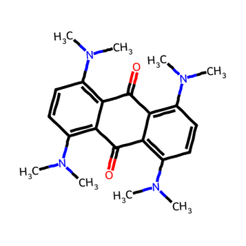 CN(C)c1ccc(N(C)C)c2c1C(=O)c1c(N(C)C)ccc(N(C)C)c1C2=O